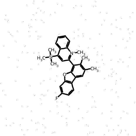 Cc1cc2c(oc3cc(F)ccc32)c(-c2cc([Si](C)(C)C)c3ccccc3[n+]2C)c1C